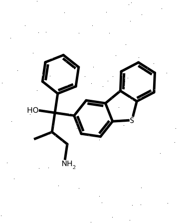 CC(CN)C(O)(c1ccccc1)c1ccc2sc3ccccc3c2c1